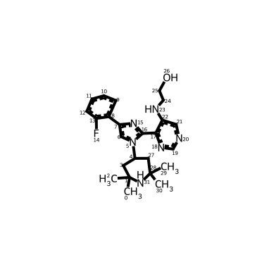 CC1(C)CC(n2cc(-c3ccccc3F)nc2-c2ncncc2NCCO)CC(C)(C)N1